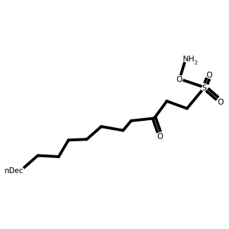 CCCCCCCCCCCCCCCCCC(=O)CCS(=O)(=O)ON